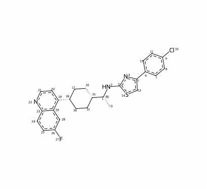 C[C@@H](Nc1nc(-c2ccc(Cl)cc2)cs1)[C@H]1CC[C@@H](c2ccnc3ccc(F)cc32)CC1